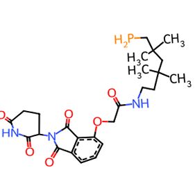 CC(C)(CP)CC(C)(C)CCNC(=O)COc1cccc2c1C(=O)N(C1CCC(=O)NC1=O)C2=O